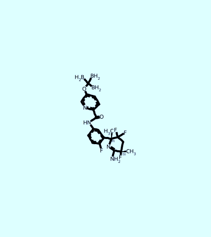 BC(B)(B)Oc1ccc(C(=O)Nc2ccc(F)c([C@@]3(C)N=C(N)[C@@](C)(F)CC3(F)F)c2)nc1